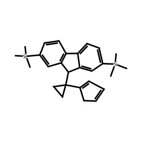 C[Si](C)(C)c1ccc2c(c1)C(C1(C3=CC=CC3)CC1)c1cc([Si](C)(C)C)ccc1-2